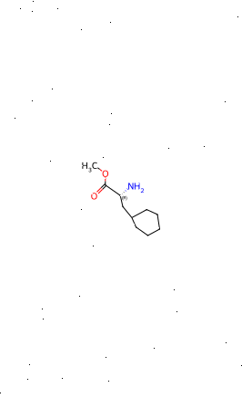 COC(=O)[C@H](N)CC1CCCCC1